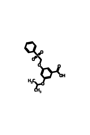 CC(C)Oc1cc(OCS(=O)(=O)c2ccccc2)cc(C(=O)O)c1